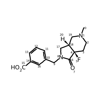 CN1CC[C@]2(F)C(=O)N(Cc3cccc(C(=O)O)c3)C[C@@H]2C1